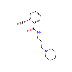 C#Cc1ccccc1C(=O)NCCCN1CCCCC1